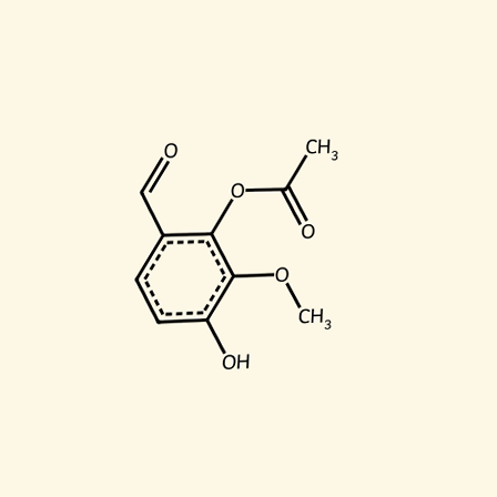 COc1c(O)ccc(C=O)c1OC(C)=O